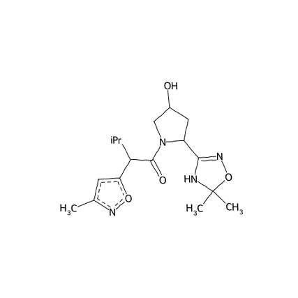 Cc1cc(C(C(=O)N2CC(O)CC2C2=NOC(C)(C)N2)C(C)C)on1